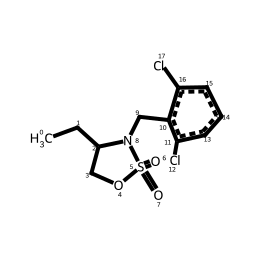 CCC1COS(=O)(=O)N1Cc1c(Cl)cccc1Cl